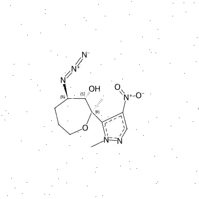 Cn1ncc([N+](=O)[O-])c1[C@@]1(C)OCCC[C@@H](N=[N+]=[N-])[C@@H]1O